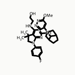 COc1cc(N2CC3CCC(C2)C3Nc2nc(NCCO)c3c(n2)N(c2ccc(F)cc2)CC3(C)C)cnn1